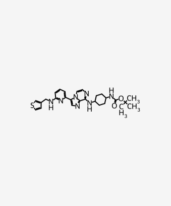 CC(C)(C)OC(=O)NC1CCC(Nc2nccn3c(-c4cccc(NCc5ccsc5)n4)cnc23)CC1